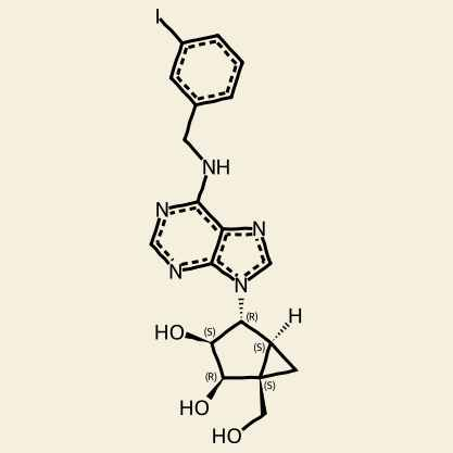 OC[C@]12C[C@@H]1[C@@H](n1cnc3c(NCc4cccc(I)c4)ncnc31)[C@H](O)[C@@H]2O